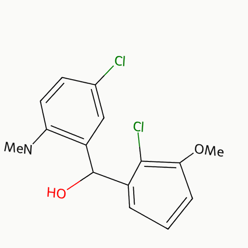 CNc1ccc(Cl)cc1C(O)c1cccc(OC)c1Cl